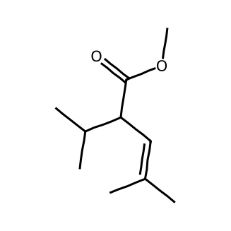 COC(=O)C(C=C(C)C)C(C)C